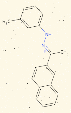 C/C(=N\Nc1cccc(C)c1)c1ccc2ccccc2c1